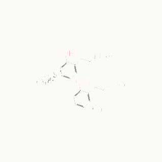 CCCCCCCCCCCCc1ccccc1O.CCCCCCCCCCCCc1ccccc1O.[Ca+2].[Ca+2].[Ca+2].[S-2].[S-2]